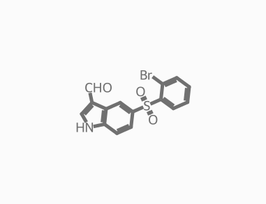 O=Cc1c[nH]c2ccc(S(=O)(=O)c3ccccc3Br)cc12